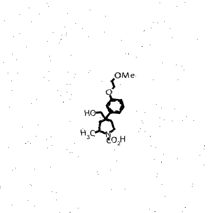 COCCOc1cccc(C2(CO)CCN(C(=O)O)C(C)C2)c1